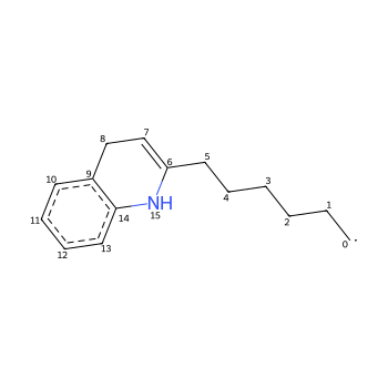 [CH2]CCCCCC1=CCc2ccccc2N1